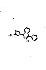 CCCCc1cn(-c2nc(Cl)c(-c3ccccc3)c3ccccc23)cn1